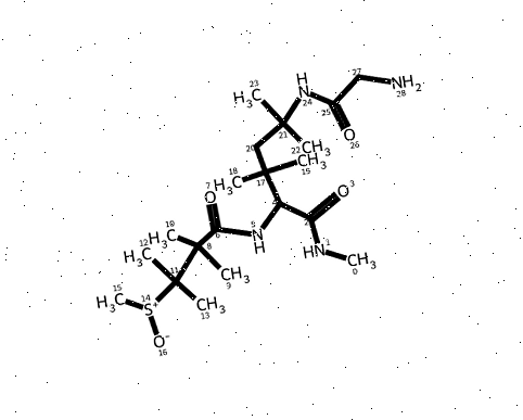 CNC(=O)C(NC(=O)C(C)(C)C(C)(C)[S+](C)[O-])C(C)(C)CC(C)(C)NC(=O)CN